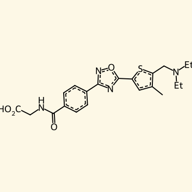 CCN(CC)Cc1sc(-c2nc(-c3ccc(C(=O)NCC(=O)O)cc3)no2)cc1C